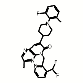 Cc1cnc2cc(C3CCN(c4c(C)cccc4F)CC3)c(=O)n(Cc3ncccc3C(F)F)c2n1